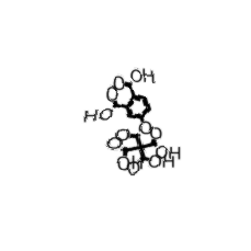 O=C(O)c1ccc(OC(=O)C(C(=O)O)(C(=O)O)C(=O)O)cc1C(=O)O